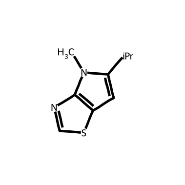 CC(C)c1cc2scnc2n1C